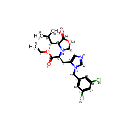 CCOC(=O)[C@H](Cc1cncn1Cc1cc(Cl)cc(Cl)c1)N1COC(=O)[C@@H]1CC(C)C